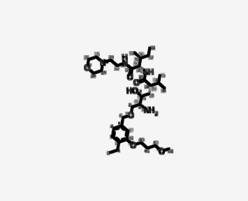 CCc1ccc(COC[C@H](N)[C@@H](O)C[C@H](C(=O)N[C@H](C(=O)NCCN2CCOCC2)[C@@H](C)CC)C(C)C)cc1OCCCOC